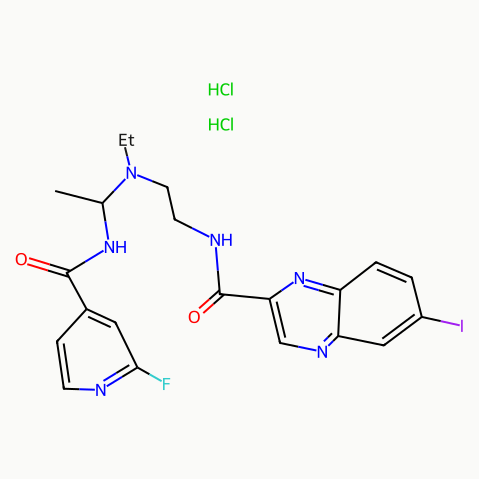 CCN(CCNC(=O)c1cnc2cc(I)ccc2n1)C(C)NC(=O)c1ccnc(F)c1.Cl.Cl